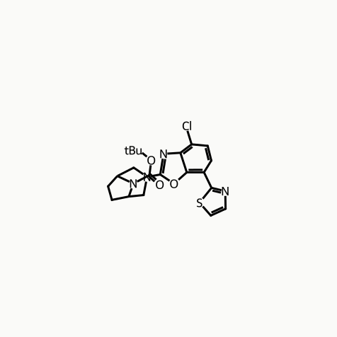 CC(C)(C)OC(=O)N1C2CCC1CN(c1nc3c(Cl)ccc(-c4nccs4)c3o1)C2